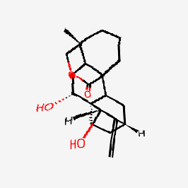 C=C1[C@H]2CC[C@]3(C(C2)C24CCC[C@@](C)(COC2=O)C4C[C@H]3O)[C@H]1O